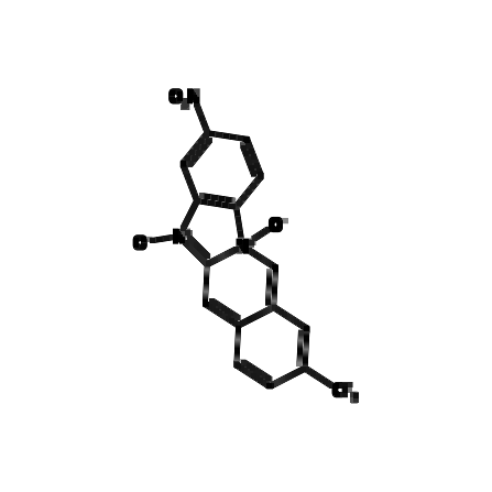 O=[N+]([O-])c1ccc2c(c1)[N+]([O-])=C1C=c3ccc(C(F)(F)F)cc3=C[N+]12[O-]